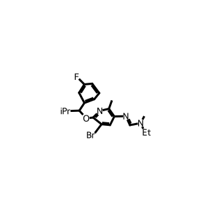 CCN(C)/C=N/c1cc(Br)c(OC(c2cccc(F)c2)C(C)C)nc1C